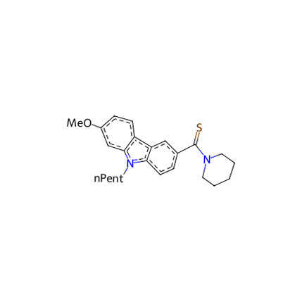 CCCCCn1c2ccc(C(=S)N3CCCCC3)cc2c2ccc(OC)cc21